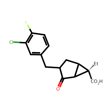 CC[C@@]1(C(=O)O)C2CC(Cc3ccc(F)c(Cl)c3)C(=O)C21